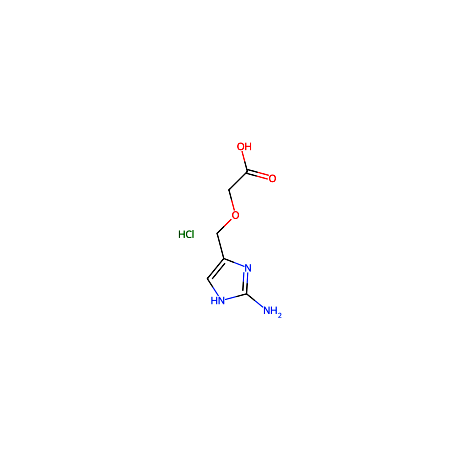 Cl.Nc1nc(COCC(=O)O)c[nH]1